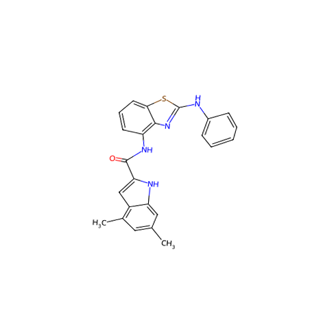 Cc1cc(C)c2cc(C(=O)Nc3cccc4sc(Nc5ccccc5)nc34)[nH]c2c1